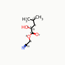 CC(C)C[C@H](O)C(=O)OCC#N